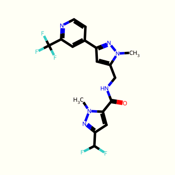 Cn1nc(-c2ccnc(C(F)(F)F)c2)cc1CNC(=O)c1cc(C(F)F)nn1C